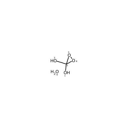 O.OC1(O)OO1